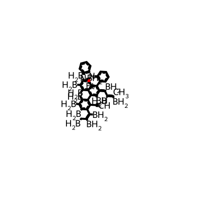 B=c1c(-c2c(B)c(B)c(B)c(/C(B)=C(/B)CB)c2C#C)c2c(B)c(B)c(B)c(B)c2c(-c2ccccc2-n2c(CC)nc3ccccc32)/c1=C(B)/C(B)=C(/B)C